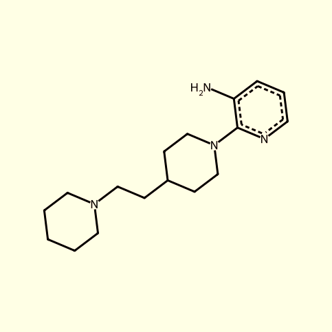 Nc1cccnc1N1CCC(CCN2CCCCC2)CC1